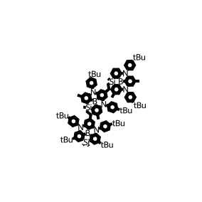 Cc1cc2c3c(c1)N(c1ccc(C(C)(C)C)cc1)c1cc(C)cc4c1B3c1c(cccc1[Si]4(C)CCc1cc3c4c(c1)N(c1ccc(C(C)(C)C)cc1)c1cc(C)cc5c1B4c1c(cc(C)cc1[Si]5(C)CCc1cc4c5c(c1)N(c1ccc(C(C)(C)C)cc1)c1cc(C(C)(C)C)cc6c1B5c1c(cc(C(C)(C)C)cc1[Si]6(C)C)N4c1ccc(C(C)(C)C)cc1)N3c1ccc(C(C)(C)C)cc1)N2c1ccc(C(C)(C)C)cc1